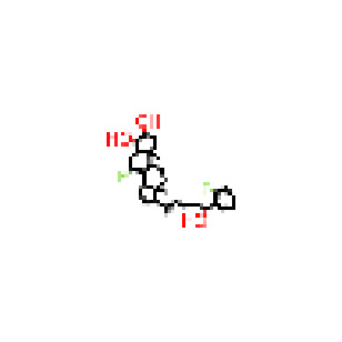 C[C@H](CCCC(O)c1ccccc1F)C1CCC2C3=C(F)CC4C(O)C(O)CCC4(C)C3CCC21C